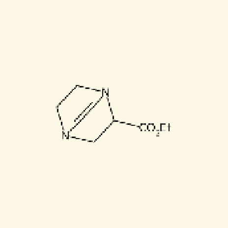 CCOC(=O)C1CN2C=CN1CC2